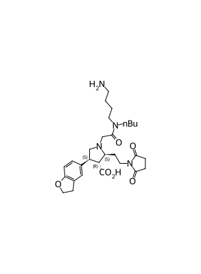 CCCCN(CCCCN)C(=O)CN1C[C@H](c2ccc3c(c2)CCO3)[C@@H](C(=O)O)[C@@H]1CCN1C(=O)CCC1=O